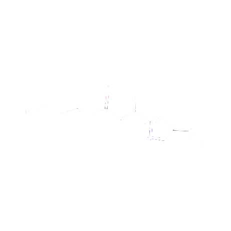 CCCCOC(=O)NC(C)c1ncc(C=O)o1